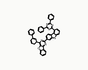 C1=CC(c2ccccc2)=CC(c2nc(-c3ccc4c(c3)sc3cccc(-c5nc(-c6ccccc6)nc(-c6ccccc6)n5)c34)nc3c2oc2ccccc23)C1